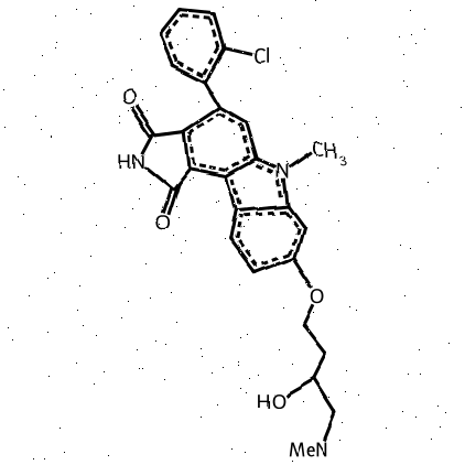 CNCC(O)CCOc1ccc2c3c4c(c(-c5ccccc5Cl)cc3n(C)c2c1)C(=O)NC4=O